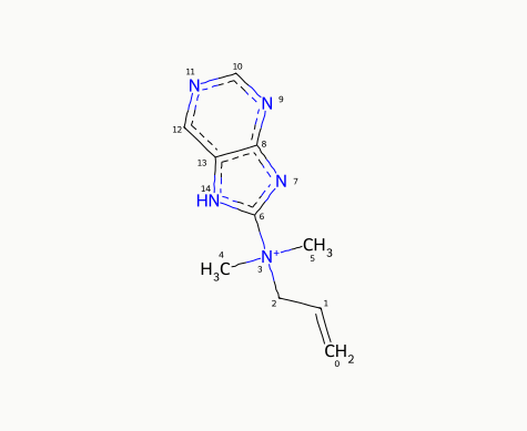 C=CC[N+](C)(C)c1nc2ncncc2[nH]1